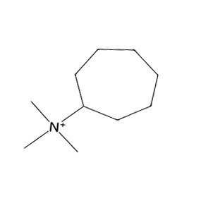 C[N+](C)(C)C1CCCCCC1